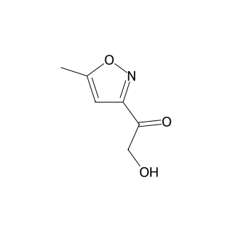 Cc1cc(C(=O)CO)no1